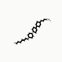 CCCCC1CCC(C2CCC([C@H]3CC[C@H](CC/C=C/CCCF)CC3)CC2)CC1